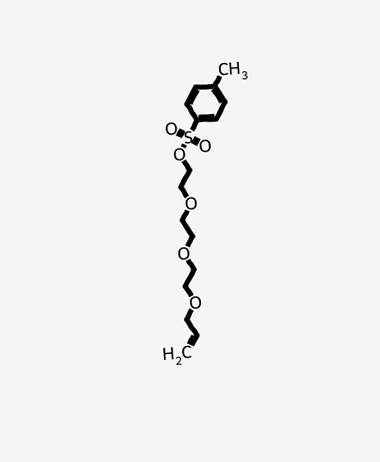 C=CCOCCOCCOCCOS(=O)(=O)c1ccc(C)cc1